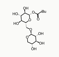 CCC(C)C(=O)O[C@@H]1O[C@H](CO[C@@H]2OC[C@@H](O)[C@H](O)[C@H]2O)[C@@H](O)[C@H](O)[C@H]1O